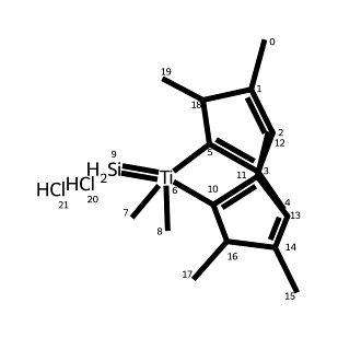 CC1=CC(C)=[C]([Ti]([CH3])([CH3])(=[SiH2])[C]2=C(C)C=C(C)C2C)C1C.Cl.Cl